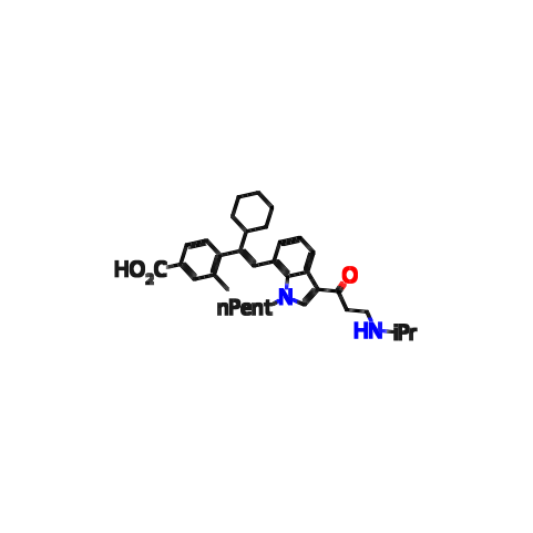 CCCCCn1cc(C(=O)CCNC(C)C)c2cccc(/C=C(/c3ccc(C(=O)O)cc3C)C3CCCCC3)c21